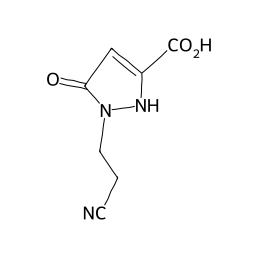 N#CCCn1[nH]c(C(=O)O)cc1=O